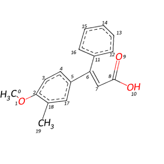 COc1ccc(/C(=C/C(=O)O)c2ccccc2)cc1C